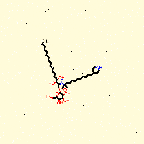 CCCCCCCCCCCCCC[C@@H](O)[C@@H](O)[C@H](COC1OC(CO)C(O)C(O)C1O)NC1(CCCCCCCCCCC2CCNCC2)COC1